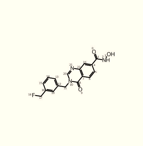 O=C(NO)c1ccc2c(=O)n(Cc3cccc(CF)c3)cnc2c1